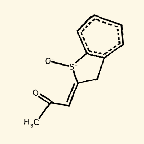 CC(=O)C=C1Cc2ccccc2[S+]1[O-]